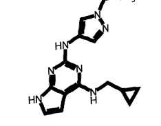 CCn1cc(Nc2nc(NCC3CC3)c3cc[nH]c3n2)cn1